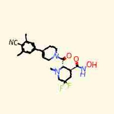 Cc1cc(C2=CCN(C(=O)[C@@H]3[C@@H](C(=O)NO)CC(F)(F)CN3C)CC2)cc(C)c1C#N